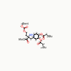 CCC[C@H](C)OC(=O)OCC[C@@](N)(Cc1ccc(OC(=O)CC(C)CC)c(OC(=O)CC(C)CC)c1)C(=O)OC